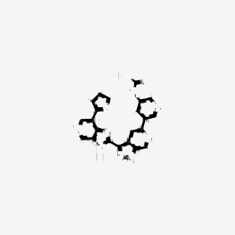 CC(C)(C)C(=O)Nc1cncc(-c2cc3c(-c4nc5c(-c6cccs6)cncc5[nH]4)n[nH]c3cn2)c1